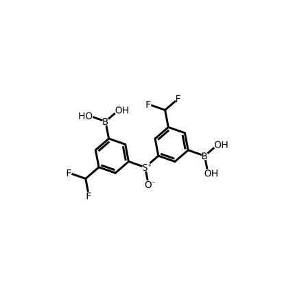 [O-][S+](c1cc(B(O)O)cc(C(F)F)c1)c1cc(B(O)O)cc(C(F)F)c1